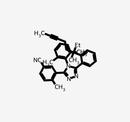 CC#CCCC(C)(CC)c1ccccc1-c1nnc(-c2cc(C#N)ccc2C)n1-c1c(C)cccc1C